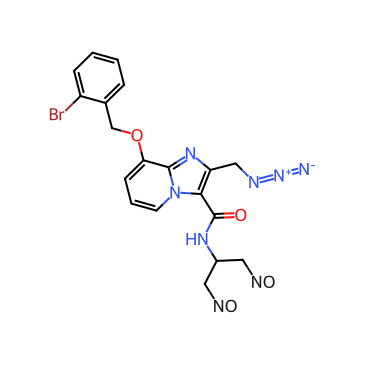 [N-]=[N+]=NCc1nc2c(OCc3ccccc3Br)cccn2c1C(=O)NC(CN=O)CN=O